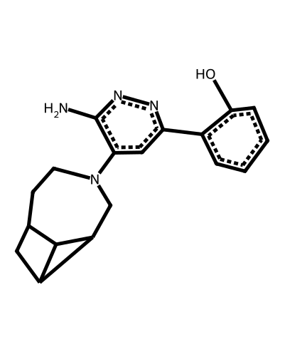 Nc1nnc(-c2ccccc2O)cc1N1CCC2CC3C(C1)C23